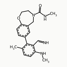 CNC(=O)N1CCOc2ccc(-c3c(C)ccc(NC)c3C=N)cc2C1